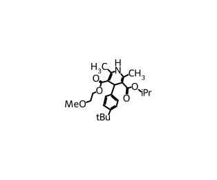 COCCOC(=O)C1=C(C)NC(C)=C(C(=O)OC(C)C)C1c1ccc(C(C)(C)C)cc1